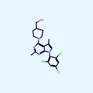 Cc1nc(N2CCC(CO)CC2)c2c(C)cn(-c3c(Cl)cc(Cl)cc3Cl)c2n1